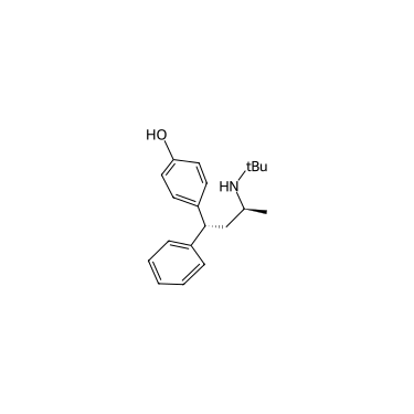 C[C@@H](C[C@H](c1ccccc1)c1ccc(O)cc1)NC(C)(C)C